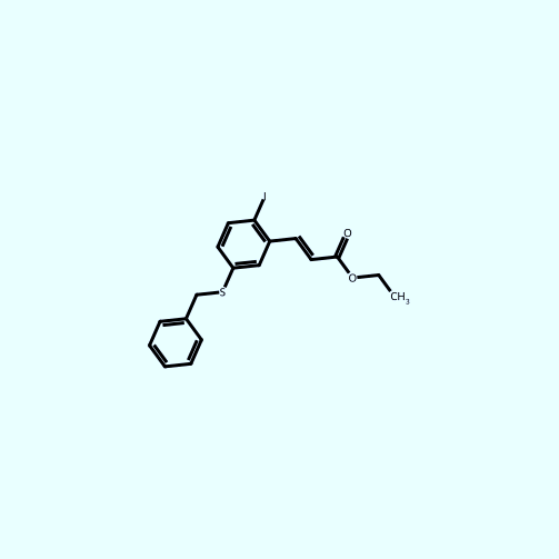 CCOC(=O)C=Cc1cc(SCc2ccccc2)ccc1I